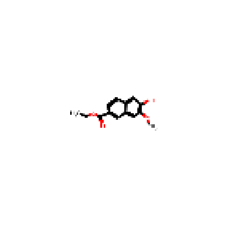 CCOC(=O)c1ccc2cc(O)c(OC)cc2c1